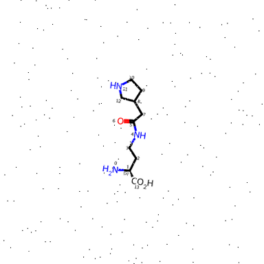 N[C@@H](CCNC(=O)CC1CCNC1)C(=O)O